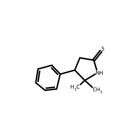 CC1(C)NC(=S)CC1c1ccccc1